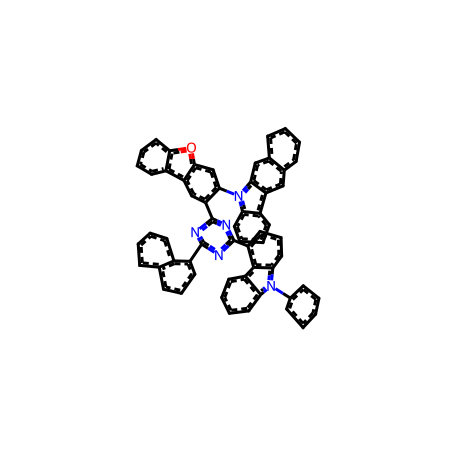 c1ccc(-n2c3ccccc3c3c(-c4nc(-c5cc6c(cc5-n5c7ccccc7c7cc8ccccc8cc75)oc5ccccc56)nc(-c5cccc6ccccc56)n4)cccc32)cc1